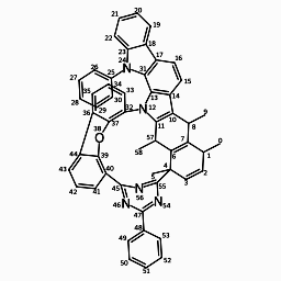 CC1C=CC2(C)C3=C1C(C)c1c(n(c4c1ccc1c5ccccc5n(-c5ccccc5)c14)-c1cccc4c1oc1c(cccc14)-c1nc(-c4ccccc4)nc2n1)C3C